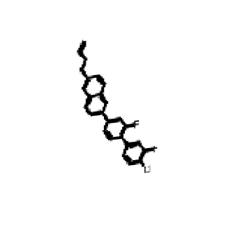 C=CCCc1ccc2cc(-c3ccc(-c4ccc(Cl)c(F)c4)c(F)c3)ccc2c1